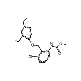 CCc1ccc(OCc2c(Cl)cccc2NC(=O)OC)c(CC)c1